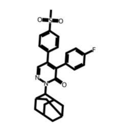 CS(=O)(=O)c1ccc(-c2cnn(C3C4CC5CC(C4)CC3C5)c(=O)c2-c2ccc(F)cc2)cc1